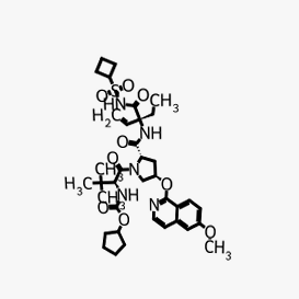 C=C[C@@](CC)(NC(=O)[C@@H]1C[C@@H](Oc2nccc3cc(OC)ccc23)CN1C(=O)[C@@H](NC(=O)OC1CCCC1)C(C)(C)C)C(=O)NS(=O)(=O)C1CCC1